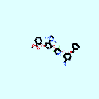 COC(=O)C1CCCCC1Oc1ccc(Oc2c(F)cnc(Oc3cc(C#N)ccc3OCc3ccccc3)c2F)c(C2NCCN2C)c1